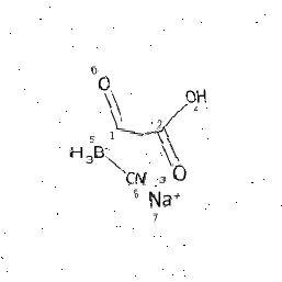 O=CC(=O)O.[BH3-]C#N.[Na+]